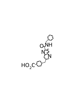 O=C(O)c1ccc(Cc2cnc3sc(C(=O)NCc4ccccc4)nc3c2)cc1